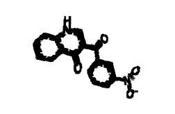 O=C(c1cccc([N+](=O)[O-])c1)c1c[nH]c2ccccc2c1=O